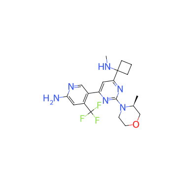 CNC1(c2cc(-c3cnc(N)cc3C(F)(F)F)nc(N3CCOC[C@@H]3C)n2)CCC1